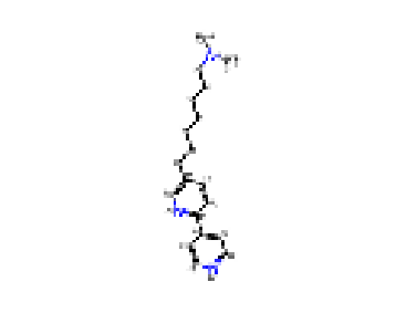 CCN(CC)CCCCCCCc1ccc(-c2ccncc2)nc1